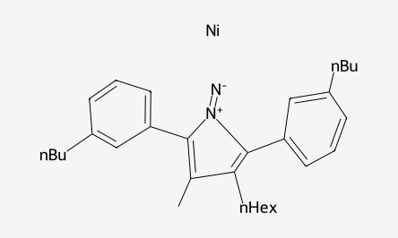 CCCCCCC1=C(c2cccc(CCCC)c2)[N+](=[N-])C(c2cccc(CCCC)c2)=C1C.[Ni]